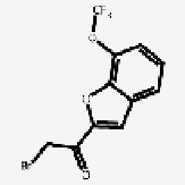 O=C(CBr)c1cc2cccc(OC(F)(F)F)c2o1